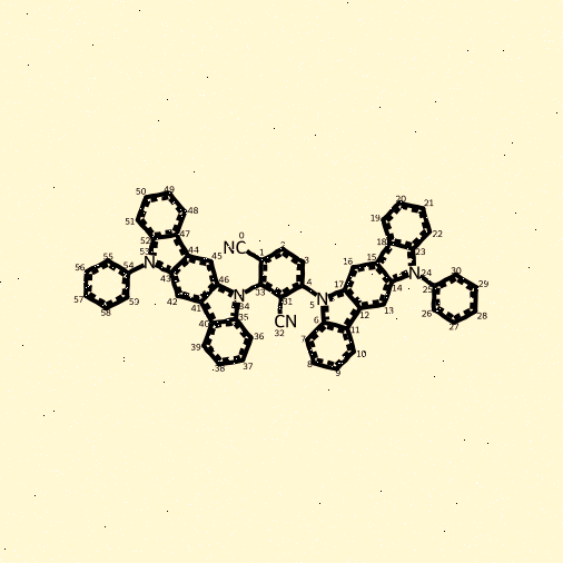 N#Cc1ccc(-n2c3ccccc3c3cc4c(cc32)c2ccccc2n4-c2ccccc2)c(C#N)c1-n1c2ccccc2c2cc3c(cc21)c1ccccc1n3-c1ccccc1